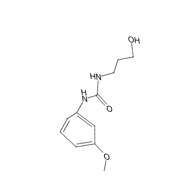 COc1cccc(NC(=O)NCCCO)c1